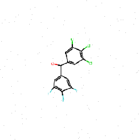 [O]C(c1cc(F)c(F)c(F)c1)c1cc(Cl)c(Cl)c(Cl)c1